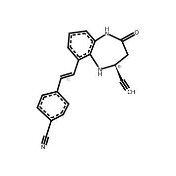 C#C[C@@H]1CC(=O)Nc2cccc(/C=C/c3ccc(C#N)cc3)c2N1